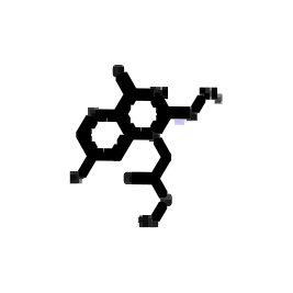 CC(C)(C)OC(=O)Cn1/c(=N/N)[nH]c(=O)c2ncc(Br)cc21